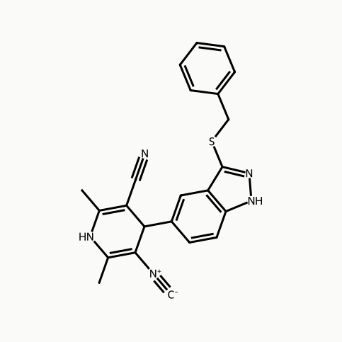 [C-]#[N+]C1=C(C)NC(C)=C(C#N)C1c1ccc2[nH]nc(SCc3ccccc3)c2c1